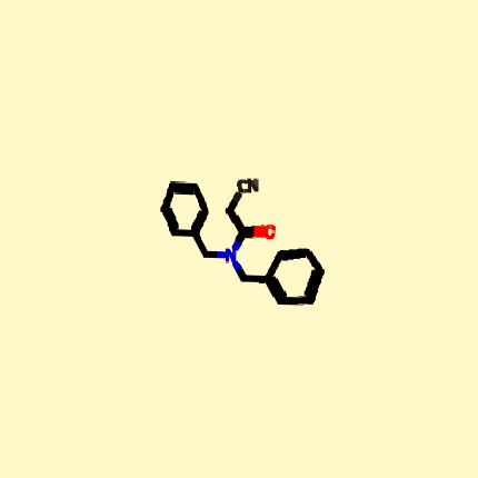 N#CCC(=O)N(Cc1ccccc1)Cc1ccccc1